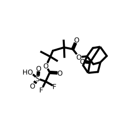 CC(C)(CC(C)(C)C(=O)OC12CC3CC(C1)C(=O)C(C3)C2)OC(=O)C(F)(F)S(=O)(=O)O